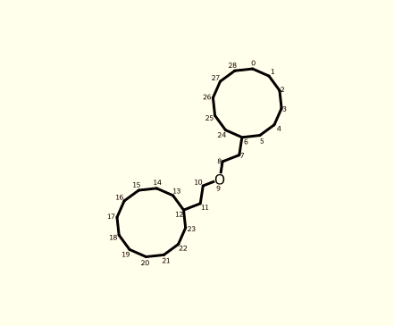 C1CCCCCC(CCOCCC2CCCCCCCCCCC2)CCCCC1